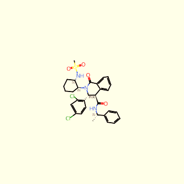 C[C@H](NC(=O)[C@@H]1c2ccccc2C(=O)N([C@H]2CCCC[C@@H]2NS(C)(=O)=O)[C@H]1c1ccc(Cl)cc1Cl)c1ccccc1